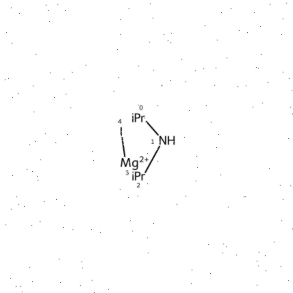 CC(C)NC(C)C.[Mg+2][I]